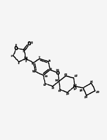 O=C1OCCN1c1ccc2c(c1)CCC1(CCN(C3CCC3)CC1)O2